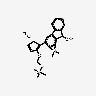 C[Si](C)(C)OCOC1=C(c2cc3c(c4c2[Si]4(C)C)[CH]([Zr+2])c2ccccc2-3)CC=C1.[Cl-].[Cl-]